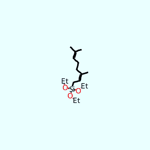 CCO[Si](CC=C(C)CCC=C(C)C)(OCC)OCC